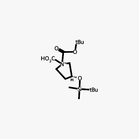 CC(C)(C)OC(=O)[N+]1(C(=O)O)CC[C@@H](O[Si](C)(C)C(C)(C)C)C1